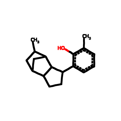 Cc1cccc(C2CCC3C4CC(C)C(C4)C23)c1O